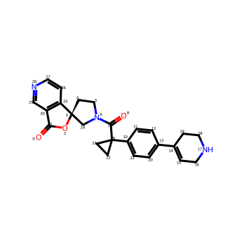 O=C1O[C@]2(CCN(C(=O)C3(c4ccc(C5=CCNCC5)cc4)CC3)C2)c2ccncc21